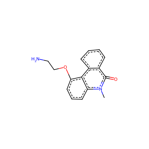 Cn1c(=O)c2ccccc2c2c(OCCN)cccc21